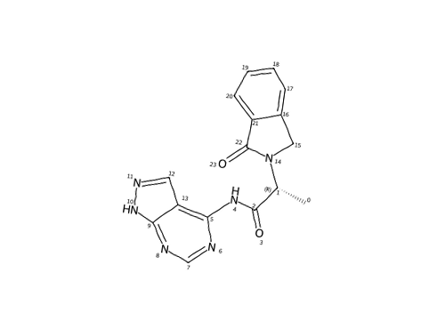 C[C@H](C(=O)Nc1ncnc2[nH]ncc12)N1Cc2ccccc2C1=O